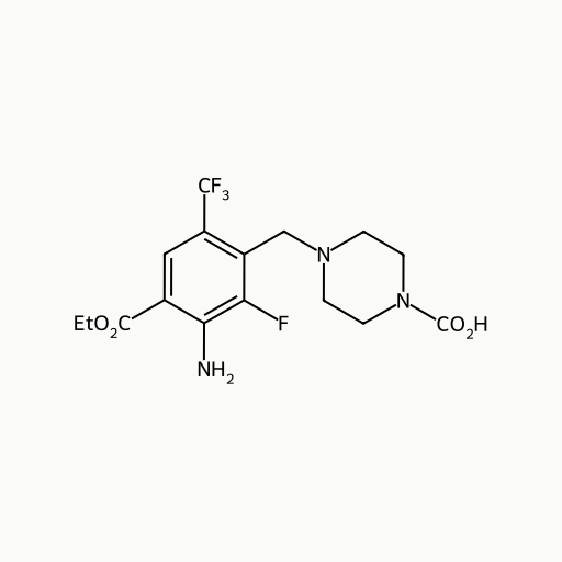 CCOC(=O)c1cc(C(F)(F)F)c(CN2CCN(C(=O)O)CC2)c(F)c1N